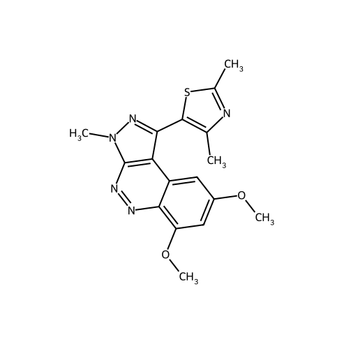 COc1cc(OC)c2nnc3c(c(-c4sc(C)nc4C)nn3C)c2c1